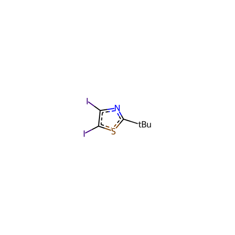 CC(C)(C)c1nc(I)c(I)s1